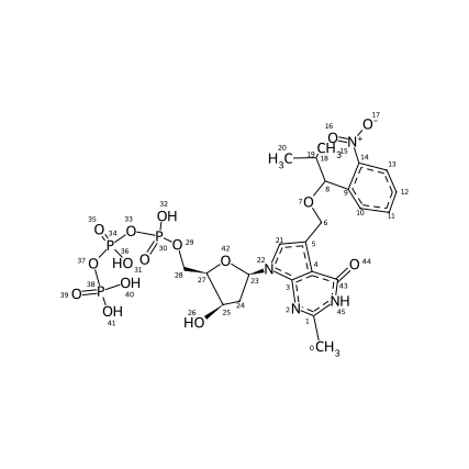 Cc1nc2c(c(COC(c3ccccc3[N+](=O)[O-])C(C)C)cn2[C@H]2C[C@@H](O)[C@@H](COP(=O)(O)OP(=O)(O)OP(=O)(O)O)O2)c(=O)[nH]1